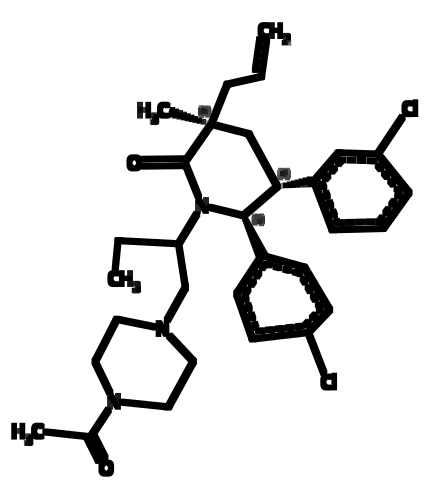 C=CC[C@@]1(C)C[C@H](c2cccc(Cl)c2)[C@@H](c2ccc(Cl)cc2)N(C(CC)CN2CCN(C(C)=O)CC2)C1=O